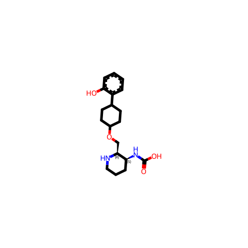 O=C(O)N[C@H]1CCCN[C@H]1COC1CCC(c2ccccc2O)CC1